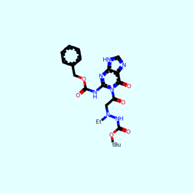 CCN(CC(=O)n1c(NC(=O)OCc2ccccc2)nc2[nH]cnc2c1=O)NC(=O)OC(C)(C)C